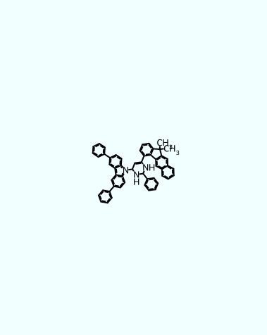 CC1(C)c2cc3ccccc3cc2-c2c(C3=CC(n4c5ccc(-c6ccccc6)cc5c5cc(-c6ccccc6)ccc54)NC(c4ccccc4)N3)cccc21